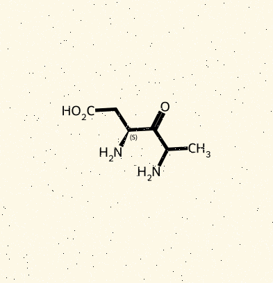 C[C](N)C(=O)[C@@H](N)CC(=O)O